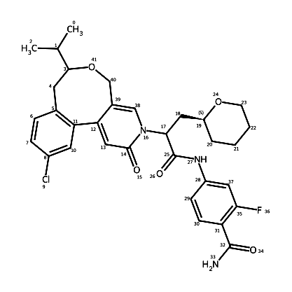 CC(C)C1Cc2ccc(Cl)cc2-c2cc(=O)n(C(C[C@@H]3CCCCO3)C(=O)Nc3ccc(C(N)=O)c(F)c3)cc2CO1